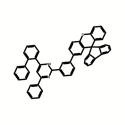 C1=C(c2ccccc2-c2ccccc2)NC(c2cccc(-c3ccc4c(c3)C3(c5ccccc5O4)c4ccccc4-c4ccccc43)c2)N=C1c1ccccc1